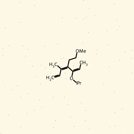 C=C/C(C)=C(CCOC)\C(=C/C)OC(C)C